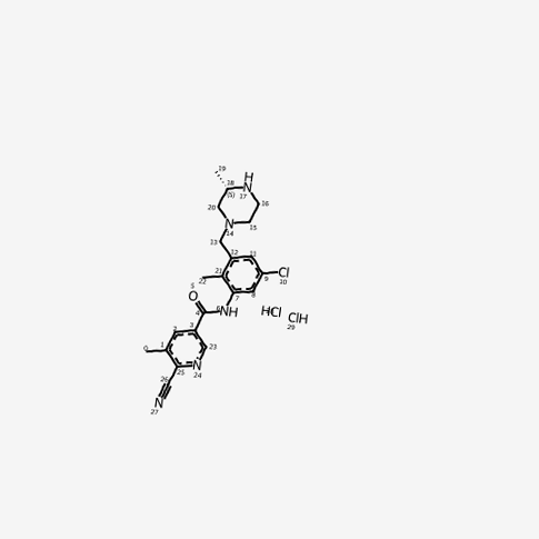 Cc1cc(C(=O)Nc2cc(Cl)cc(CN3CCN[C@@H](C)C3)c2C)cnc1C#N.Cl.Cl